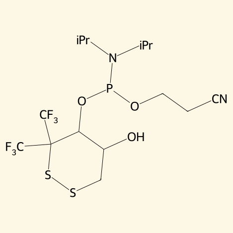 CC(C)N(C(C)C)P(OCCC#N)OC1C(O)CSSC1(C(F)(F)F)C(F)(F)F